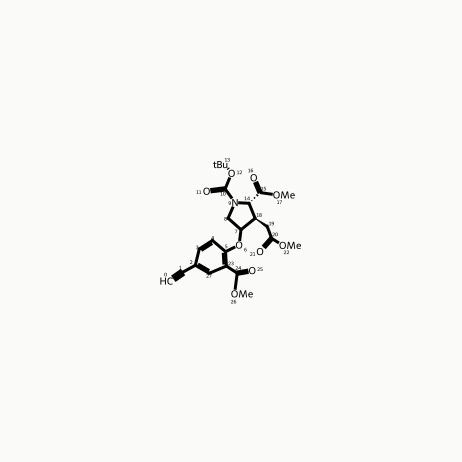 C#Cc1ccc(OC2CN(C(=O)OC(C)(C)C)[C@H](C(=O)OC)[C@H]2CC(=O)OC)c(C(=O)OC)c1